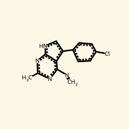 C=Nc1nc(C)nc2[nH]cc(-c3ccc(Cl)cc3)c12